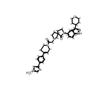 Cn1cnc(-c2ccc(C3=CCN(C(=O)CN4CCC5(CCN(c6ccc7[nH]nc(C8CCOCC8)c7c6)C5=O)C4)CC3)cc2)n1